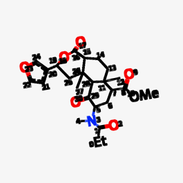 CCC(=O)N(C)C1CC(C(=O)OC)C2(C)CCC3C(=O)OC(c4ccoc4)CC3(C)C2C1=O